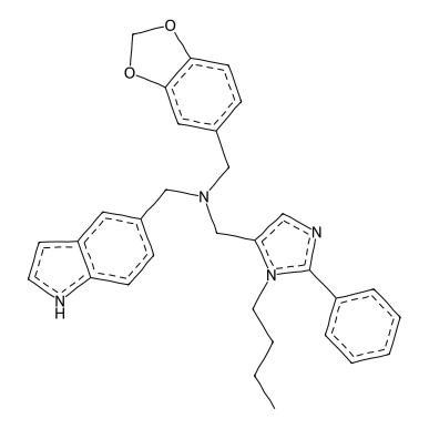 CCCCn1c(CN(Cc2ccc3c(c2)OCO3)Cc2ccc3[nH]ccc3c2)cnc1-c1ccccc1